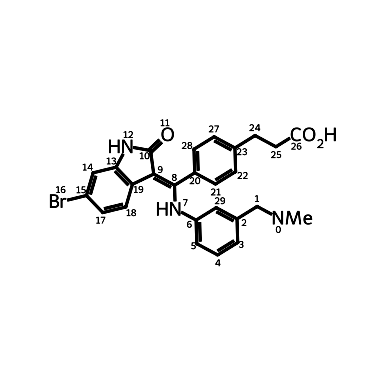 CNCc1cccc(NC(=C2C(=O)Nc3cc(Br)ccc32)c2ccc(CCC(=O)O)cc2)c1